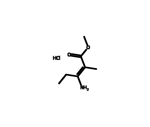 CCC(N)=C(C)C(=O)OC.Cl